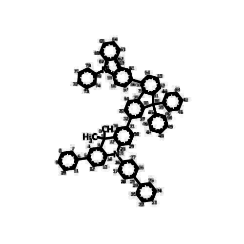 CC1(C)c2cc(-c3ccccc3)ccc2N(c2ccc(-c3ccccc3)cc2)c2ccc(-c3ccc4c(c3)C(c3ccccc3)(c3ccccc3)c3cccc(-c5ccc6c(c5)c5ccccc5n6-c5ccccc5)c3-4)cc21